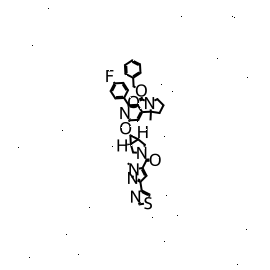 Cn1nc(-c2cscn2)cc1C(=O)N1C[C@@H]2C(Oc3cc(C4(C)CCCN4C(=O)OCc4ccccc4)cc(-c4ccc(F)cc4)n3)[C@@H]2C1